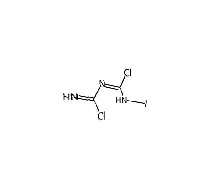 N=C(Cl)/N=C(/Cl)NI